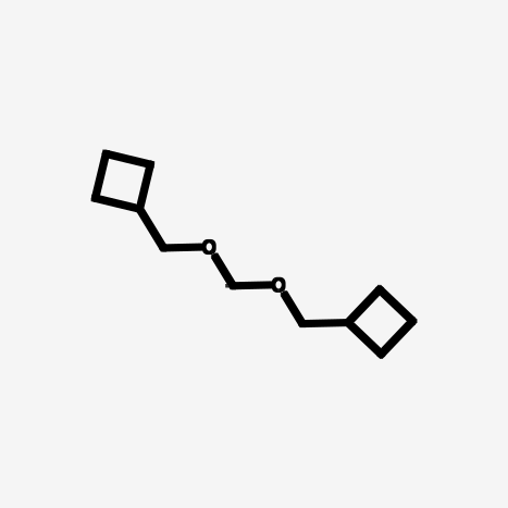 [CH](OCC1CCC1)OCC1CCC1